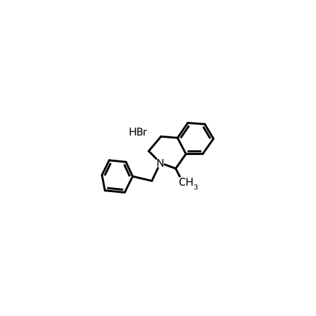 Br.CC1c2ccccc2CCN1Cc1ccccc1